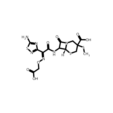 CSC1(C(=O)O)CS[C@@H]2C(NC(=O)C(=NOCC(=O)O)c3nsc(N)n3)C(=O)N2C1